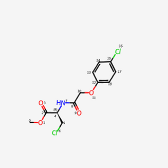 COC(=O)[C@H](CCl)NC(=O)COc1ccc(Cl)cc1